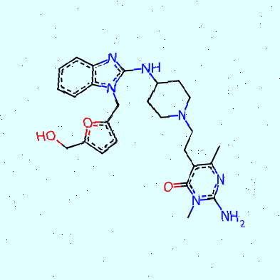 Cc1nc(N)n(C)c(=O)c1CCN1CCC(Nc2nc3ccccc3n2Cc2ccc(CO)o2)CC1